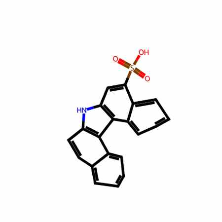 O=S(=O)(O)c1cc2[nH]c3ccc4ccccc4c3c2c2ccccc12